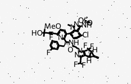 C=C1[C@@H]2c3c(C(F)F)nn(CC(=O)N[C@@H](Cc4cc(F)cc(F)c4)c4nc(C#CC(C)(C)O)c(OC)cc4-c4ccc(Cl)c5c(NS(C)(=O)=O)nn(C)c45)c3C(F)(F)[C@H]12